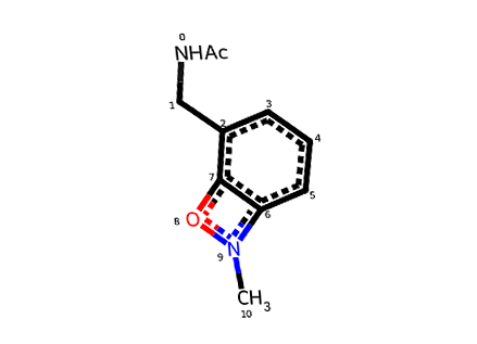 CC(=O)NCc1cccc2c1on2C